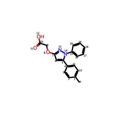 Cc1ccc(-c2cc(OCC(=O)O)nn2-c2ccccc2)cc1